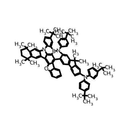 CC(C)(C)c1ccc(N2B3c4cc(C(C)(C)C)ccc4-n4c5cc6c(cc5c5c7oc8ccccc8c7c(c3c54)-c3cc4c(cc32)C(C)(C)c2cc(N(c3ccc(C(C)(C)C)cc3)c3ccc(C(C)(C)C)cc3)ccc2-4)C(C)(C)CCC6(C)C)cc1